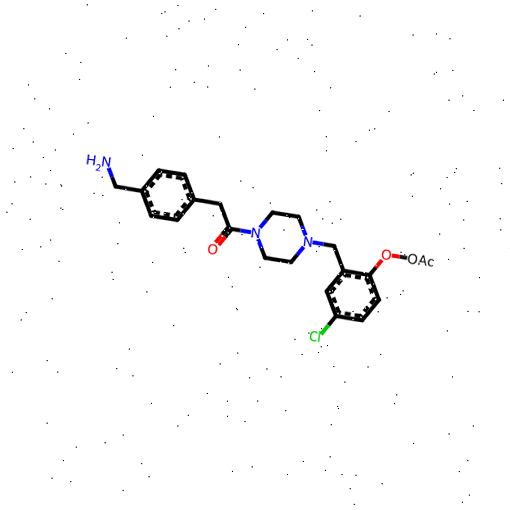 CC(=O)OOc1ccc(Cl)cc1CN1CCN(C(=O)Cc2ccc(CN)cc2)CC1